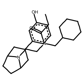 CCC(=O)N(CCN1C2CCC1CC(c1cccc(O)c1)C2)CC1CCCCC1